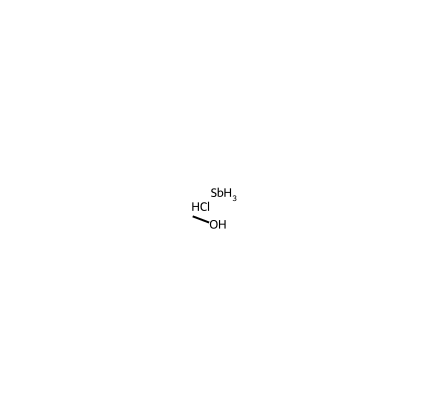 CO.Cl.[SbH3]